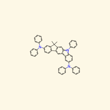 CC1(C)c2cc(N(c3ccccc3)c3ccccc3)ccc2-c2cc3c4cc(N(c5ccccc5)c5ccccc5)ccc4n(-c4ccccc4)c3cc21